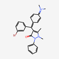 Cc1c(C(=C2C=CC(=[N+](C)C)C=C2)c2cccc(Br)c2)c(=O)n(-c2ccccc2)n1C